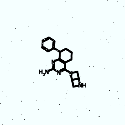 Nc1nc2c(c(N3CC4NCC43)n1)CCCC2c1ccccc1